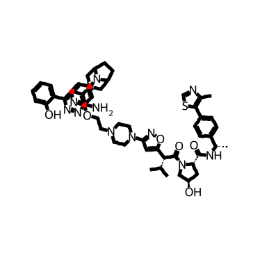 Cc1ncsc1-c1ccc([C@H](C)NC(=O)[C@@H]2C[C@@H](O)CN2C(=O)[C@@H](c2cc(N3CCN(CCOc4cc(N5C6CCC5CN(c5cc(-c7ccccc7O)nnc5N)C6)ccn4)CC3)no2)C(C)C)cc1